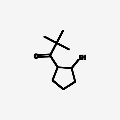 CC(C)(C)C(=O)C1CCCC1S